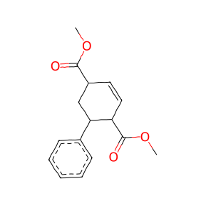 COC(=O)C1C=CC(C(=O)OC)C(c2ccccc2)C1